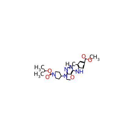 COC(=O)c1ccc(Nc2ncnc3c2OCCN3C2CCN(C(=O)OC(C)C)CC2)c(C)c1